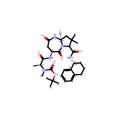 C[C@@H](C(=O)N[C@H]1CC(=O)N[C@H]2CC(C)(C)C(C(=O)N[C@@H]3CCCc4ccccc43)N2C1=O)N(C)C(=O)OC(C)(C)C